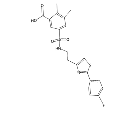 Cc1cc(S(=O)(=O)NCCc2csc(-c3ccc(F)cc3)n2)cc(C(=O)O)c1C